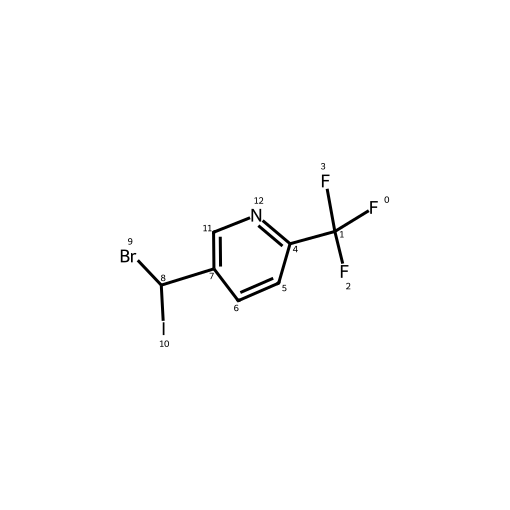 FC(F)(F)c1ccc(C(Br)I)cn1